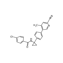 Cc1cc(C#N)ncc1-c1ccc(C2(NC(=O)c3ccc(Cl)cc3)CC2)cc1